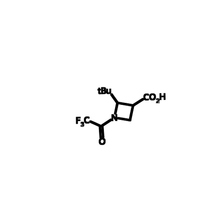 CC(C)(C)C1C(C(=O)O)CN1C(=O)C(F)(F)F